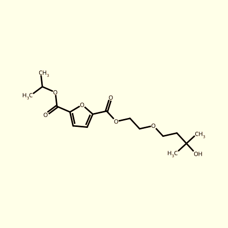 CC(C)OC(=O)c1ccc(C(=O)OCCOCCC(C)(C)O)o1